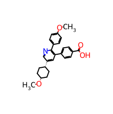 COc1ccc(-c2ncc([C@H]3CC[C@@H](OC)CC3)cc2-c2ccc(C(=O)O)cc2)cc1